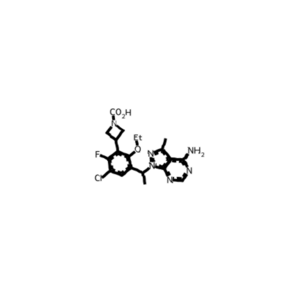 CCOc1c(C(C)n2nc(C)c3c(N)ncnc32)cc(Cl)c(F)c1C1CN(C(=O)O)C1